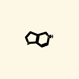 C1=CC2=C(CCS2)CN1